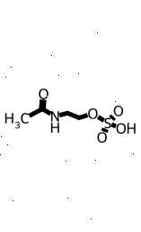 CC(=O)NCCOS(=O)(=O)O